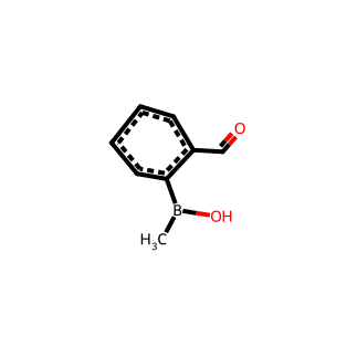 CB(O)c1ccccc1C=O